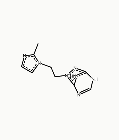 Cc1nccn1CC[n+]1nc2[nH]c1N=CN2